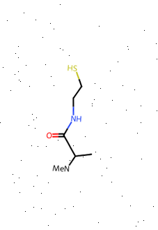 CNC(C)C(=O)NCCS